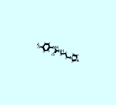 CSc1ccc(NC(=S)NCCCn2ccnc2)cc1